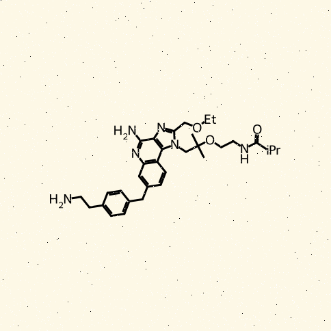 CCOCc1nc2c(N)nc3cc(Cc4ccc(CCN)cc4)ccc3c2n1CC(C)(C)OCCNC(=O)C(C)C